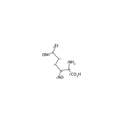 CCC(CCC(N=O)C(N)C(=O)O)N=O